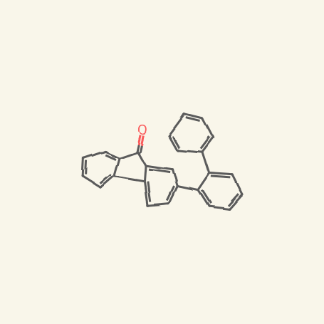 O=C1c2ccccc2-c2ccc(-c3ccccc3-c3ccccc3)cc21